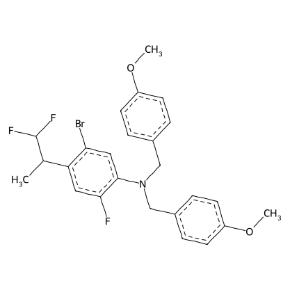 COc1ccc(CN(Cc2ccc(OC)cc2)c2cc(Br)c(C(C)C(F)F)cc2F)cc1